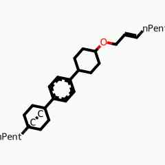 CCCCCC=CCOC1CCC(c2ccc(C34CCC(CCCCC)(CC3)CC4)cc2)CC1